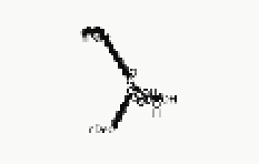 CCCCC/C=C\C/C=C\CCCCCCCCCCCC(=O)OC[C@H](COP(=O)(O)OC[C@@H](O)CO)OC(=O)CCCCCCCCCCCCCCCCCC